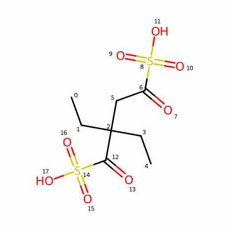 CCC(CC)(CC(=O)S(=O)(=O)O)C(=O)S(=O)(=O)O